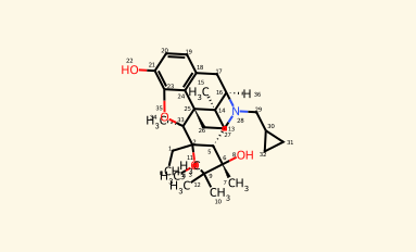 CCC1(OC)[C@@H]([C@](C)(O)C(C)(C)C)C[C@]2(C)[C@H]3Cc4ccc(O)c5c4[C@@]2(CCN3CC2CC2)[C@]1(C)O5